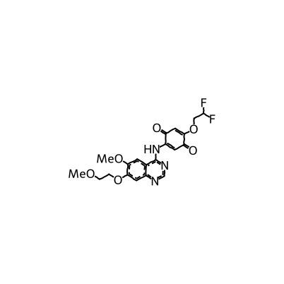 COCCOc1cc2ncnc(NC3=CC(=O)C(OCC(F)F)=CC3=O)c2cc1OC